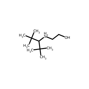 CC(C)(C)C([SiH2]CCO)C(C)(C)C